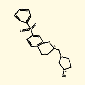 O=S(=O)(c1ccccc1)c1ccc2c(c1)O[C@@H](CN1CC[C@@H](O)C1)CC2